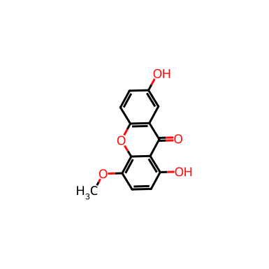 COc1ccc(O)c2c(=O)c3cc(O)ccc3oc12